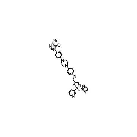 CCC(C)n1ncn(-c2ccc(N3CCN(c4ccc(OCC5COC(Cn6nccn6)(c6cccnc6)O5)cc4)CC3)cc2)c1=O